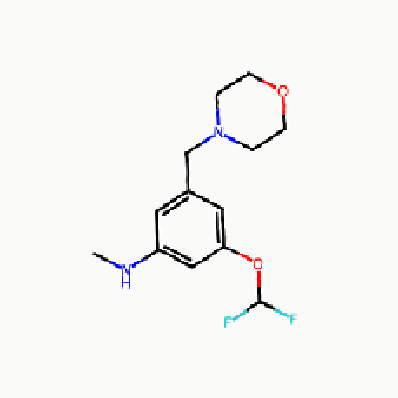 CNc1cc(CN2CCOCC2)cc(OC(F)F)c1